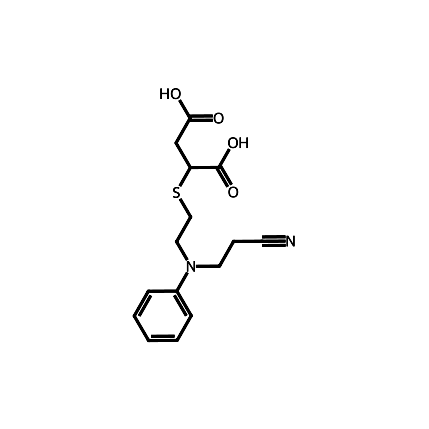 N#CCCN(CCSC(CC(=O)O)C(=O)O)c1ccccc1